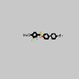 CCCC1CCC(C2CCC(OC(=S)c3ccc(OC)c(F)c3F)CC2)CC1